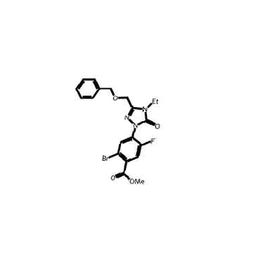 CCn1c(COCc2ccccc2)nn(-c2cc(Br)c(C(=O)OC)cc2F)c1=O